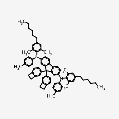 CCCCCCc1cc(C)c(N(c2ccc(C)cc2)c2ccc3c(c2)C(c2ccc4c(c2)CC4)(c2ccc4c(c2)CC4)c2cc(N(c4ccc(C)cc4)c4c(C)cc(CCCCCC)cc4C)ccc2-3)c(C)c1